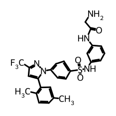 Cc1ccc(C)c(-c2cc(C(F)(F)F)nn2-c2ccc(S(=O)(=O)Nc3cccc(NC(=O)CN)c3)cc2)c1